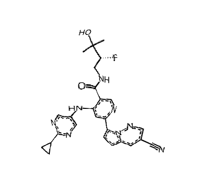 CC(C)(O)[C@H](F)CNC(=O)c1cnc(-c2ccc3cc(C#N)cnn23)cc1Nc1cnc(C2CC2)nc1